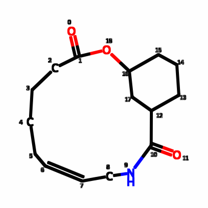 O=C1CCCCC=CCNC(=O)C2CCCC(C2)O1